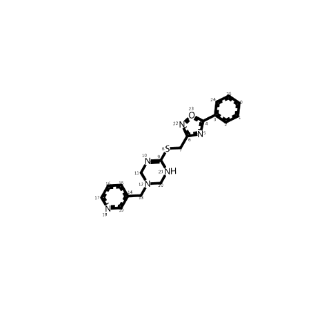 c1ccc(-c2nc(CSC3=NCN(Cc4cccnc4)CN3)no2)cc1